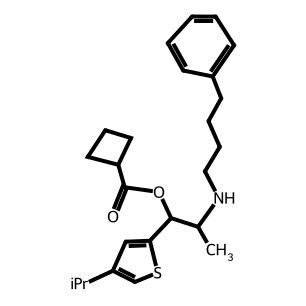 CC(C)c1csc(C(OC(=O)C2CCC2)C(C)NCCCCc2ccccc2)c1